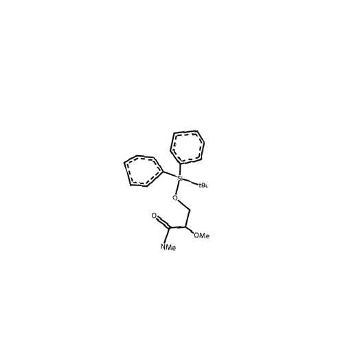 CNC(=O)C(CO[Si](c1ccccc1)(c1ccccc1)C(C)(C)C)OC